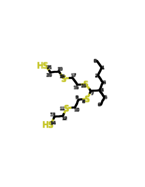 CCCCC(CC)C(SCCSCCS)SCCSCCS